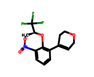 C[C@H](Oc1c(C2=CCOCC2)cccc1[N+](=O)[O-])C(F)(F)F